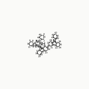 c1ccc(C2=NC(c3ccccc3)NC(n3c4ccccc4c4ccc(-c5ccc6c(c5)c5ccccc5n6-c5ccccc5)cc43)N2)cc1